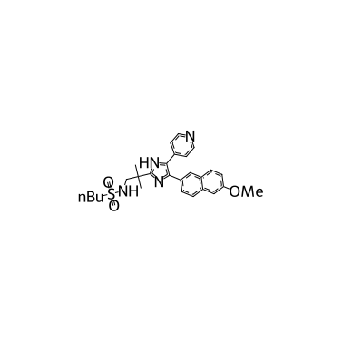 CCCCS(=O)(=O)NCC(C)(C)c1nc(-c2ccc3cc(OC)ccc3c2)c(-c2ccncc2)[nH]1